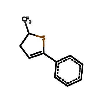 FC(F)(F)C1CC=C(c2ccccc2)S1